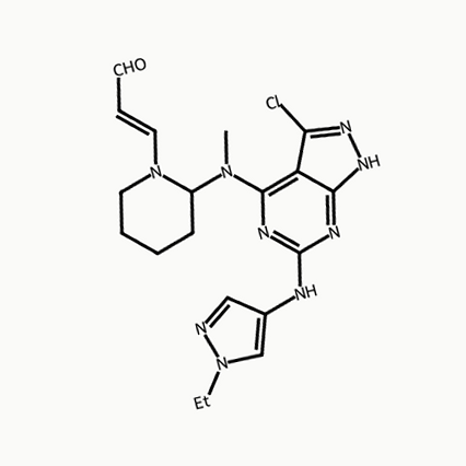 CCn1cc(Nc2nc(N(C)C3CCCCN3C=CC=O)c3c(Cl)n[nH]c3n2)cn1